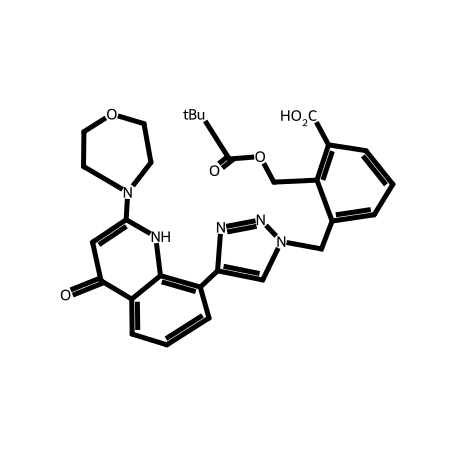 CC(C)(C)C(=O)OCc1c(Cn2cc(-c3cccc4c(=O)cc(N5CCOCC5)[nH]c34)nn2)cccc1C(=O)O